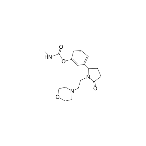 CNC(=O)Oc1cccc(C2CCC(=O)N2CCN2CCOCC2)c1